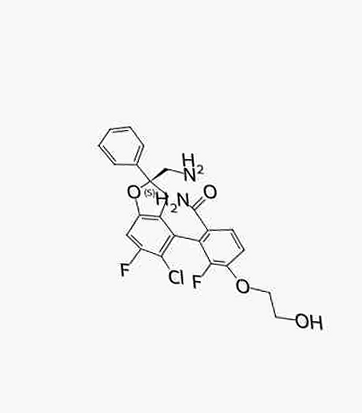 NC[C@@]1(c2ccccc2)Cc2c(cc(F)c(Cl)c2-c2c(C(N)=O)ccc(OCCO)c2F)O1